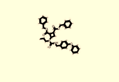 CCCN(C(=O)NCc1ccc(Oc2ccccc2)cc1)C1CC(C(=O)OCc2ccccc2)C1C(=O)OCc1ccccc1